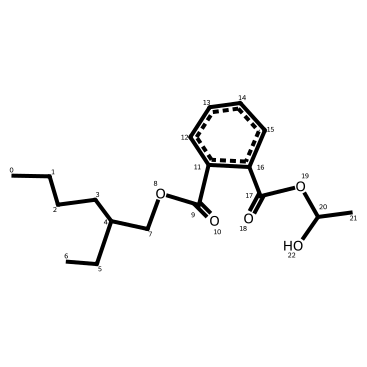 CCCCC(CC)COC(=O)c1ccccc1C(=O)OC(C)O